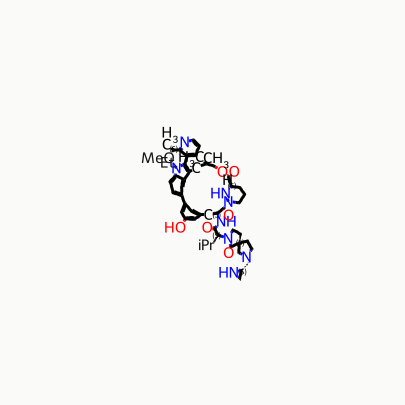 CCn1c(-c2cccnc2[C@H](C)OC)c2c3cc(ccc31)-c1cc(O)cc(c1)C[C@H](NC(=O)[C@H](C(C)C)N1CC[C@]3(CCN(C[C@@H]4CN4)C3)C1=O)C(=O)N1CCC[C@H](N1)C(=O)OCC(C)(C)C2